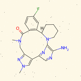 CN1Cc2nn(C)cc2-c2cnc(N)c(n2)N2CCCC[C@@H]2c2cc(F)ccc2C1=O